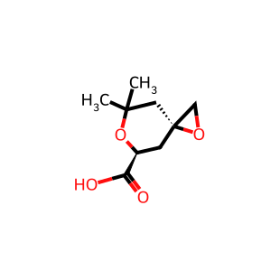 CC1(C)C[C@@]2(CO2)C[C@@H](C(=O)O)O1